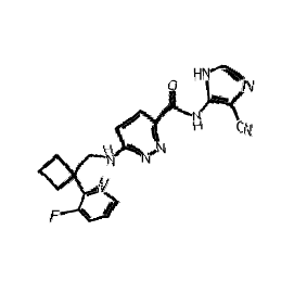 N#Cc1nc[nH]c1NC(=O)c1ccc(NCC2(c3ncccc3F)CCC2)nn1